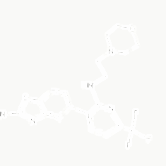 Nc1nc2[c]c(-c3ccc(C(F)(F)F)nc3NCCN3CCOCC3)ccc2s1